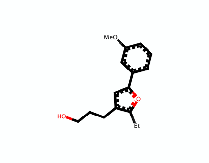 CCc1oc(-c2cccc(OC)c2)cc1CCCO